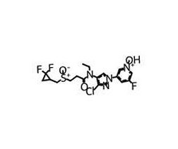 CCN(C(=O)CC[S+]([O-])CC1CC1(F)F)c1cn(-c2cc(F)c[n+](O)c2)nc1Cl